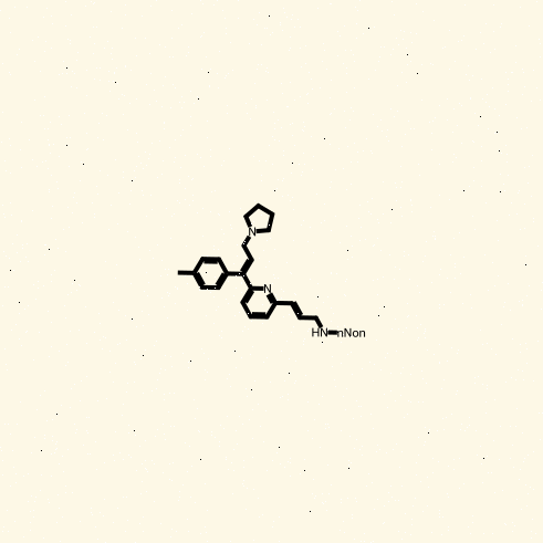 CCCCCCCCCNC/C=C/c1cccc(/C(=C/CN2CCCC2)c2ccc(C)cc2)n1